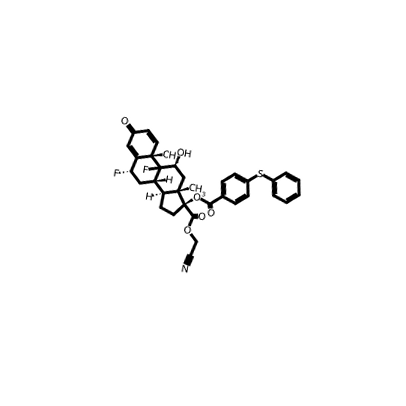 C[C@]12C=CC(=O)C=C1[C@@H](F)C[C@H]1[C@@H]3CC[C@@](OC(=O)c4ccc(Sc5ccccc5)cc4)(C(=O)OCC#N)[C@@]3(C)C[C@H](O)C12F